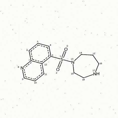 O=S(=O)(c1cccc2ncccc12)N1CCCNCC1